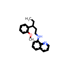 CCC(CCNc1cccc2cccnc12)c1ccccc1OC